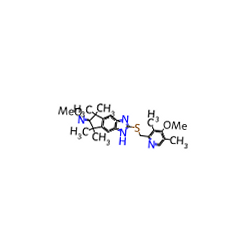 CON=C1C(C)(C)c2cc3nc(SCc4ncc(C)c(OC)c4C)[nH]c3cc2C1(C)C